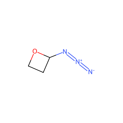 [N-]=[N+]=NC1CCO1